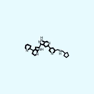 c1ccc(-c2ccnc3[nH]c(-c4n[nH]c5cnc(-c6cncc(CNCC7CCCC7)c6)cc45)cc23)nc1